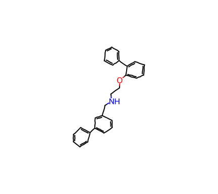 c1ccc(-c2cccc(CNCCOc3ccccc3-c3ccccc3)c2)cc1